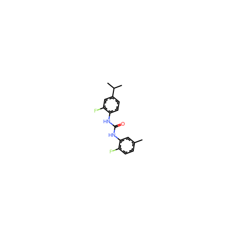 Cc1ccc(F)c(NC(=O)Nc2ccc(C(C)C)cc2F)c1